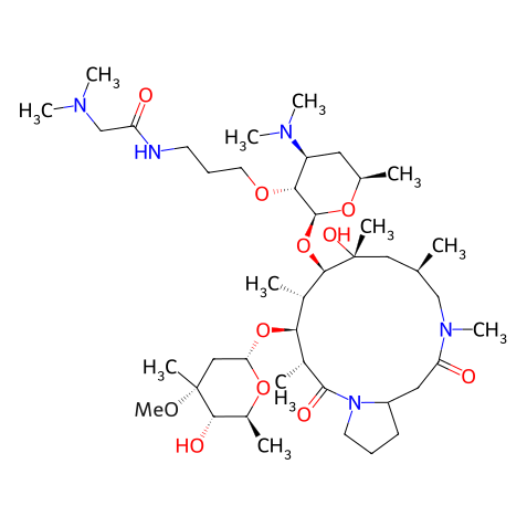 CO[C@]1(C)C[C@H](O[C@H]2[C@H](C)[C@@H](O[C@@H]3O[C@H](C)C[C@H](N(C)C)[C@H]3OCCCNC(=O)CN(C)C)[C@](C)(O)C[C@@H](C)CN(C)C(=O)CC3CCCN3C(=O)[C@@H]2C)O[C@@H](C)[C@@H]1O